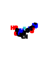 N#CC1C2CN(C(=O)[C@@H]3C[C@@H](O)CN3)CC12c1ccc(-c2ccc(N3C[C@H](Cn4ccnn4)OC3=O)cc2F)cn1